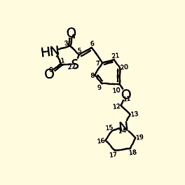 O=C1NC(=O)/C(=C/c2ccc(OCCN3CCCCC3)cc2)S1